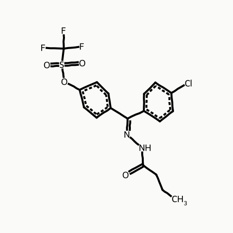 CCCC(=O)N/N=C(\c1ccc(Cl)cc1)c1ccc(OS(=O)(=O)C(F)(F)F)cc1